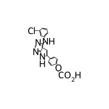 O=C(O)COc1ccc(-c2cc3c(Nc4cccc(Cl)c4)ncnc3[nH]2)cc1